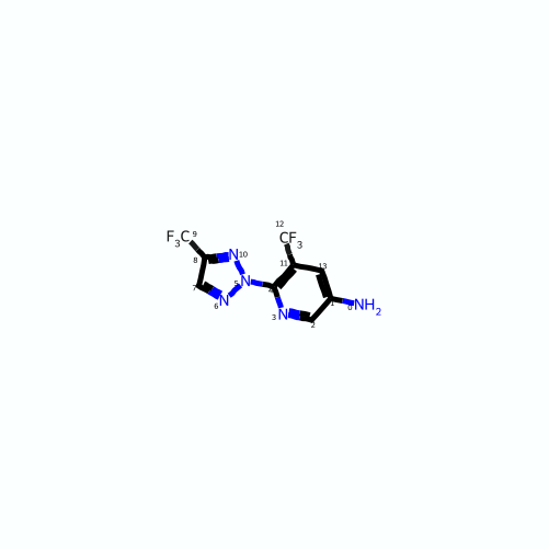 Nc1cnc(-n2ncc(C(F)(F)F)n2)c(C(F)(F)F)c1